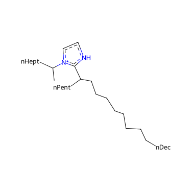 CCCCCCCCCCCCCCCCCCC(CCCCC)c1[nH]cc[n+]1C(C)CCCCCCC